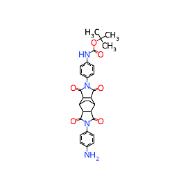 CC(C)(C)OC(=O)Nc1ccc(N2C(=O)C3C4CCC(C5C(=O)N(c6ccc(N)cc6)C(=O)C45)C3C2=O)cc1